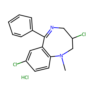 CN1CC(Cl)C/N=C(/c2ccccc2)c2cc(Cl)ccc21.Cl